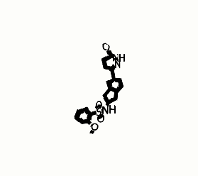 COc1ccccc1S(=O)(=O)NC1Cc2ccc(C3=NNC(=O)CC3)cc2C1